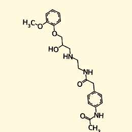 COc1ccccc1OCC(O)CNCCNC(=O)Cc1ccc(NC(C)=O)cc1